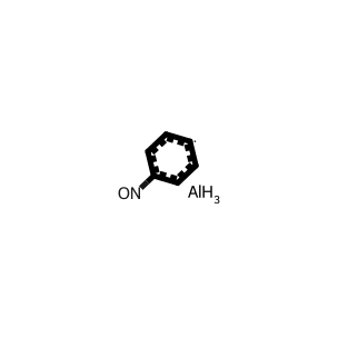 O=Nc1cc[c]cc1.[AlH3]